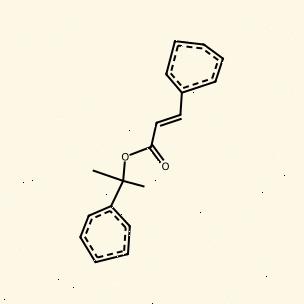 CC(C)(OC(=O)C=Cc1ccccc1)c1ccccc1